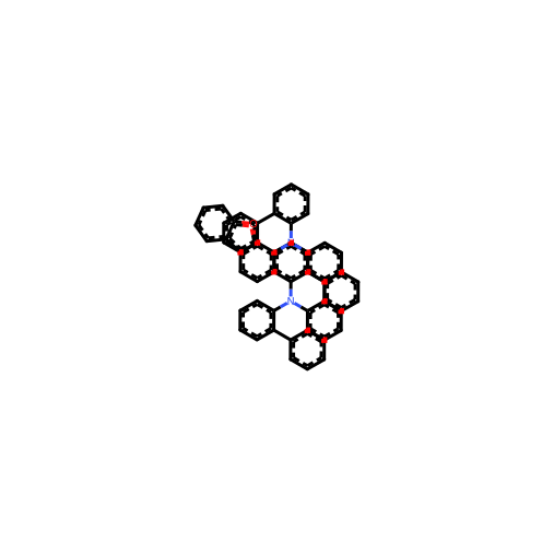 c1ccc(-c2ccccc2N(c2ccccc2-c2ccccc2)c2ccccc2-c2cccc(N(c3ccccc3-c3ccccc3)c3cccc4c3oc3ccccc34)c2)cc1